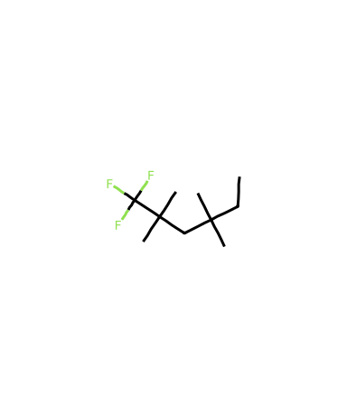 CCC(C)(C)CC(C)(C)C(F)(F)F